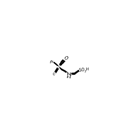 CC(C)S(=O)(=O)NS(=O)(=O)O